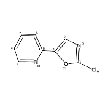 Clc1ncc(-c2ccccn2)o1